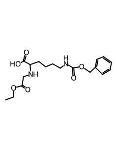 CCOC(=O)CNC(CCCCNC(=O)OCc1ccccc1)C(=O)O